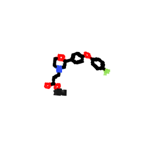 CC(C)(C)OC(=O)CCN1CCOC(c2ccc(Oc3ccc(F)cc3)cc2)C1